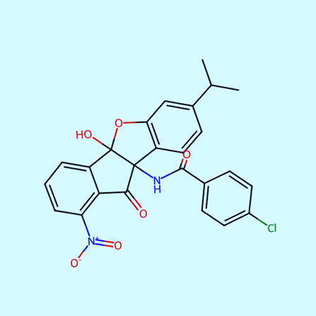 CC(C)c1ccc2c(c1)OC1(O)c3cccc([N+](=O)[O-])c3C(=O)C21NC(=O)c1ccc(Cl)cc1